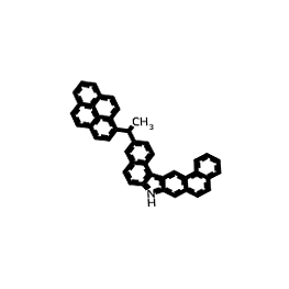 CC(c1ccc2c(ccc3[nH]c4cc5ccc6ccccc6c5cc4c32)c1)c1ccc2ccc3cccc4ccc1c2c34